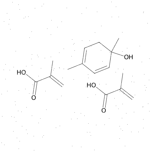 C=C(C)C(=O)O.C=C(C)C(=O)O.CC1=CCC(C)(O)C=C1